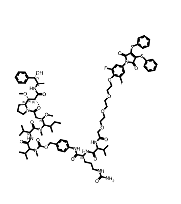 CCC(C)C([C@@H](CC(=O)N1CCC[C@H]1[C@H](OC)[C@@H](C)C(=O)N[C@H](C)[C@@H](O)c1ccccc1)OC)N(C)C(=O)[C@@H](NC(=O)C(C(C)C)N(C)C(=O)OCc1ccc(NC(=O)[C@H](CCCNC(N)=O)NC(=O)C(NC(=O)COCCOCCOCCOc2c(F)cc(N3C(=O)C(Sc4ccccc4)=C(Sc4ccccc4)C3=O)cc2F)C(C)C)cc1)C(C)C